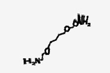 NCCOCCCCOCON